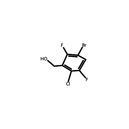 OCc1c(F)c(Br)cc(F)c1Cl